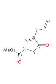 C=CCC1=CC(C(=O)OC)CC1=O